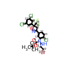 CC(C)(C)OC(=O)N(NCCBr)c1cc(C2=NOC(c3cc(Cl)cc(Cl)c3)(C(F)(F)F)C2)ccc1Cl